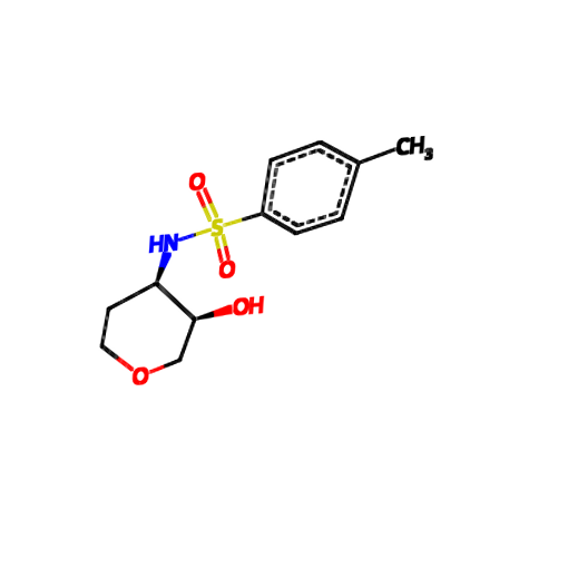 Cc1ccc(S(=O)(=O)N[C@@H]2CCOC[C@@H]2O)cc1